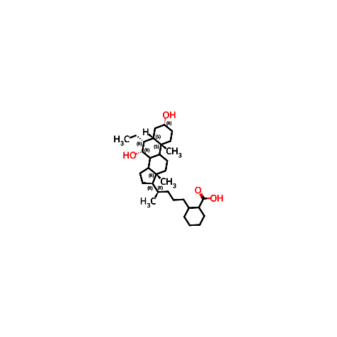 CC[C@H]1[C@@H](O)C2C3CC[C@H]([C@H](C)CCCC4CCCCC4C(=O)O)[C@@]3(C)CCC2[C@@]2(C)CC[C@@H](O)C[C@@H]12